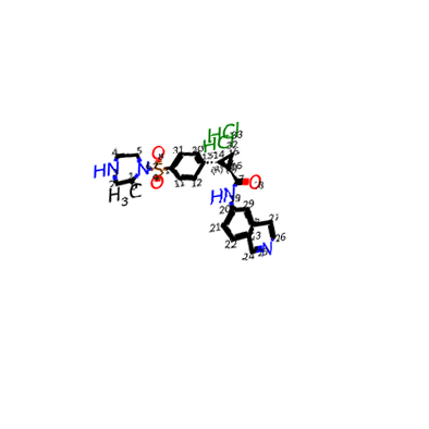 CC1CNCCN1S(=O)(=O)c1ccc([C@@H]2C[C@H]2C(=O)Nc2ccc3cnccc3c2)cc1.Cl.Cl